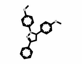 COc1ccc(C2CC(c3ccccc3)=NN2c2ccc(OC)cc2)cc1